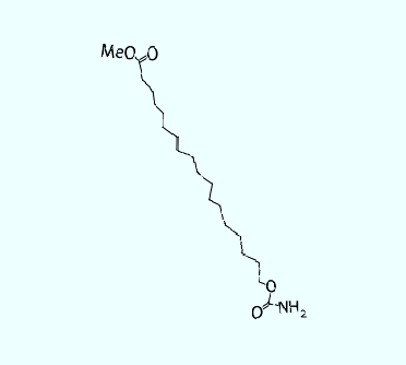 COC(=O)CCCCCCCCCCCCCCCCCOC(N)=O